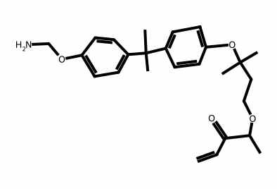 C=CC(=O)C(C)OCCC(C)(C)Oc1ccc(C(C)(C)c2ccc(OCN)cc2)cc1